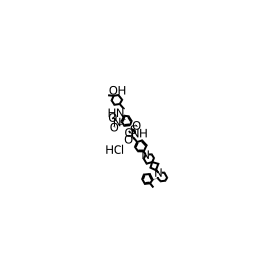 Cc1ccccc1[C@H]1CCCCN1C1CC2(CCN(c3ccc(C(=O)NS(=O)(=O)c4ccc(NCC5CCC(C)(O)CC5)c([N+](=O)[O-])c4)cc3)CC2)C1.Cl